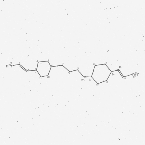 CCCC=CC1CCC(CCCC[C@H]2CC[C@H](C=CCCC)CC2)CC1